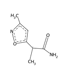 C[C](C(N)=O)c1cc(C)no1